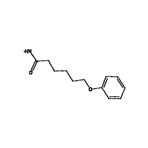 [NH]C(=O)CCCCCOc1ccccc1